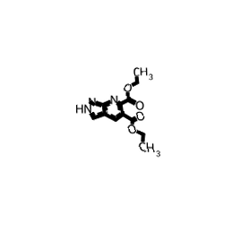 CCOC(=O)c1cc2c[nH]nc2nc1C(=O)OCC